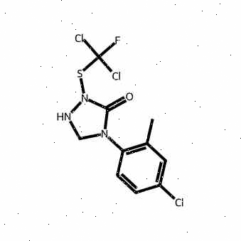 Cc1cc(Cl)ccc1N1CNN(SC(F)(Cl)Cl)C1=O